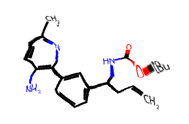 C=CCC(NC(=O)OC(C)(C)C)c1cccc(-c2nc(C)ccc2N)c1